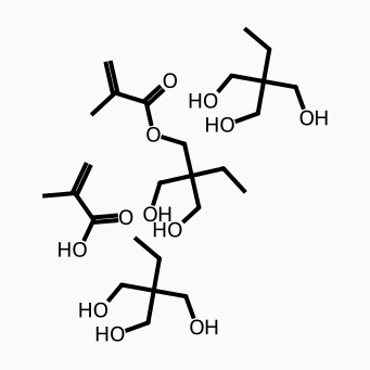 C=C(C)C(=O)O.C=C(C)C(=O)OCC(CC)(CO)CO.CCC(CO)(CO)CO.CCC(CO)(CO)CO